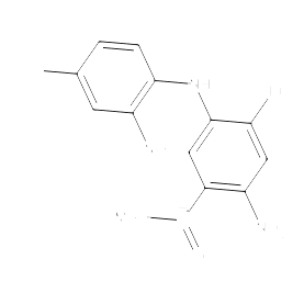 CCc1cc([N+](=O)[O-])c([PH](=O)OC)cc1Nc1ccc(C(F)(F)F)cc1[N+](=O)[O-]